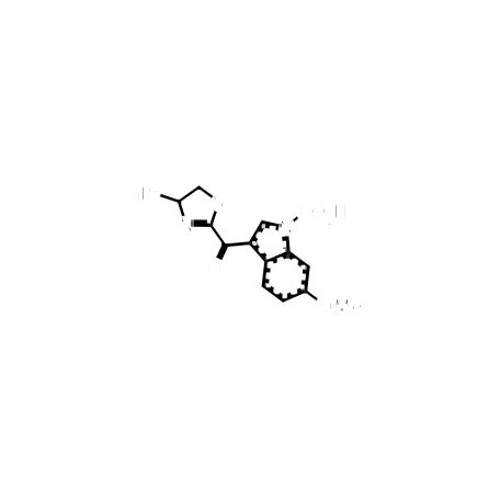 COc1ccc2c(C(=O)C3=NC(C(C)C)CS3)cn(C(=O)O)c2c1